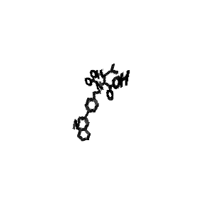 CC(C)CC(C(=O)O)N(CCc1ccc(-c2cnc3ccccc3c2)cc1)C(=O)O